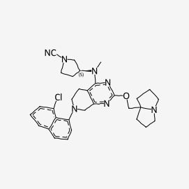 CN(c1nc(OCC23CCCN2CCC3)nc2c1CCN(c1cccc3cccc(Cl)c13)C2)[C@H]1CCN(C#N)C1